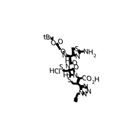 C#CCn1nnnc1C1=C(C(=O)O)N2C(=O)C(C=S)(NC(=O)C(=NOCC(=O)OC(C)(C)C)c3csc(N)n3)[C@@H]2SC1.Cl